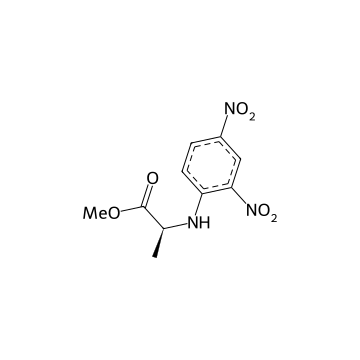 COC(=O)[C@H](C)Nc1ccc([N+](=O)[O-])cc1[N+](=O)[O-]